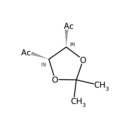 CC(=O)[C@H]1OC(C)(C)O[C@H]1C(C)=O